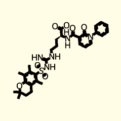 Cc1c(C)c(S(=O)(=O)NC(=N)NCCC[C@H](NC(=O)c2cccn(-c3ccccc3)c2=O)C(=O)O)c(C)c2c1OC(C)(C)CC2